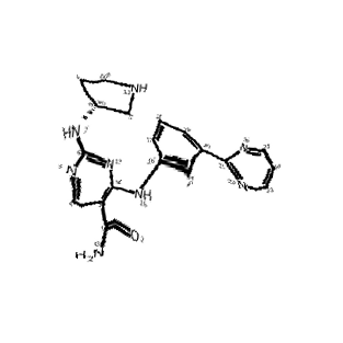 NC(=O)c1cnc(N[C@@H]2CCNC2)nc1Nc1cccc(-c2ncccn2)c1